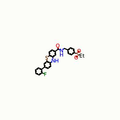 CCS(=O)(=O)c1ccc(CNC(=O)c2ccc3c(c2)Nc2ccc(-c4ccccc4F)cc2S3)cc1